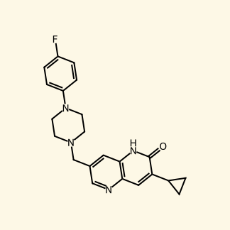 O=c1[nH]c2cc(CN3CCN(c4ccc(F)cc4)CC3)cnc2cc1C1CC1